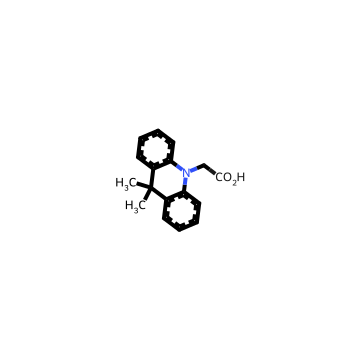 CC1(C)c2ccccc2N(CC(=O)O)c2ccccc21